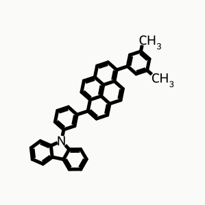 Cc1cc(C)cc(-c2ccc3ccc4c(-c5cccc(-n6c7ccccc7c7ccccc76)c5)ccc5ccc2c3c54)c1